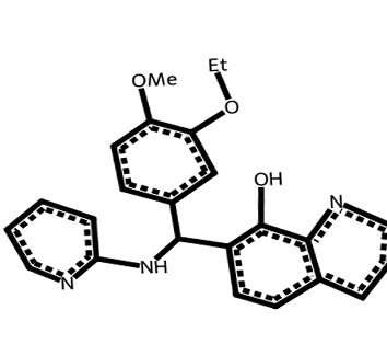 CCOc1cc(C(Nc2ccccn2)c2ccc3cccnc3c2O)ccc1OC